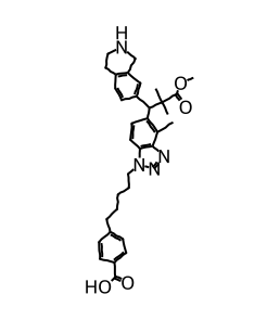 COC(=O)C(C)(C)C(c1ccc2c(c1)CNCC2)c1ccc2c(nnn2CCCCCc2ccc(C(=O)O)cc2)c1C